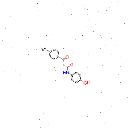 CCc1ccc(C(=O)CC(=O)Nc2ccc(O)cc2)cc1